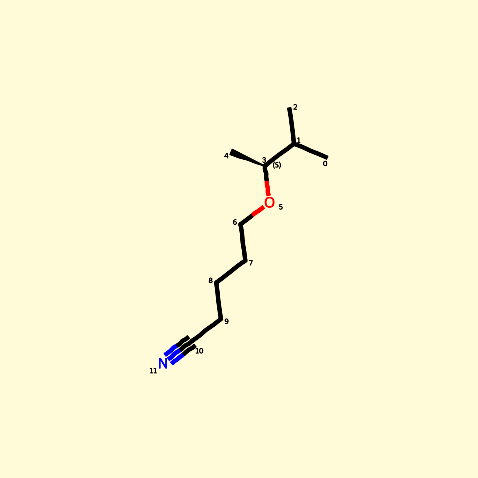 CC(C)[C@H](C)OCCCCC#N